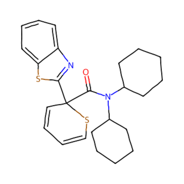 O=C(N(C1CCCCC1)C1CCCCC1)C1(c2nc3ccccc3s2)C=CC=CS1